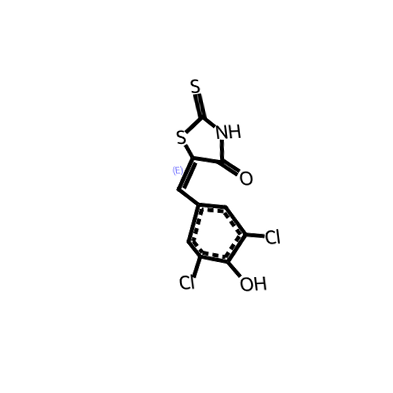 O=C1NC(=S)S/C1=C/c1cc(Cl)c(O)c(Cl)c1